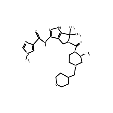 C[C@H]1CN(CC2CCOCC2)CCN1C(=O)N1Cc2c(NC(=O)c3cn(C)cn3)n[nH]c2C1(C)C